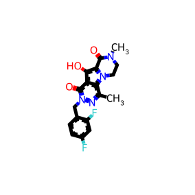 Cc1nn(Cc2ccc(F)cc2F)c(=O)c2c(O)c3n(c12)CCN(C)C3=O